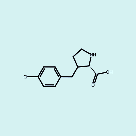 O=C(O)[C@H]1NCCC1Cc1ccc(Cl)cc1